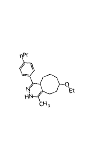 CCCc1ccc(C2=NNC(C)=C3CCC(OCC)CCCC23)cc1